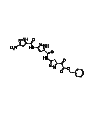 O=C(OCc1ccccc1)C(=O)C1=NN=C(NC(=O)c2cc(NC(=O)c3cc([N+](=O)[O-])n[nH]3)n[nH]2)C1